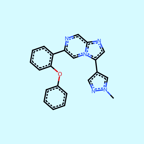 Cn1cc(-c2cnc3cnc(-c4ccccc4Oc4ccccc4)cn23)cn1